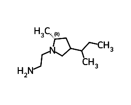 CCC(C)C1C[C@@H](C)N(CCN)C1